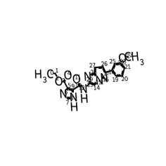 CCOC(=O)c1nc[nH]c1C(=O)Nc1cn2nc(-c3cccc(OC)c3)ccc2n1